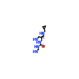 N=CNC(Br)NC/C(C=N)=C/NCC1CC1